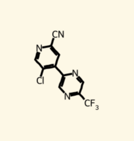 N#Cc1cc(-c2cnc(C(F)(F)F)cn2)c(Cl)cn1